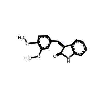 COc1ccc(/C=C2\C(=O)Nc3ccccc32)cc1OC